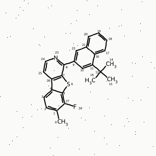 Cc1ccc2c(sc3c(-c4cc(C(C)(C)C)c5ccccc5c4)nccc32)c1F